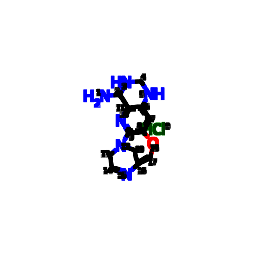 Cl.NC1NCNc2cc3c(nc21)N1CC=NC(=CO3)C1